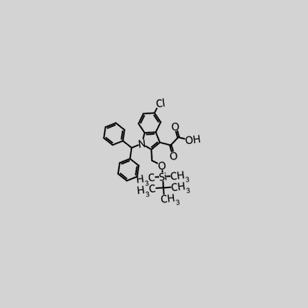 CC(C)(C)[Si](C)(C)OCc1c(C(=O)C(=O)O)c2cc(Cl)ccc2n1C(c1ccccc1)c1ccccc1